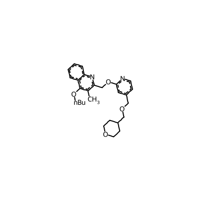 CCCCOc1c(C)c(COc2cc(COCC3CCOCC3)ccn2)nc2ccccc12